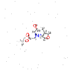 CC(C)(C)OC(=O)C=[N+]1CC(=O)Cc2cocc21